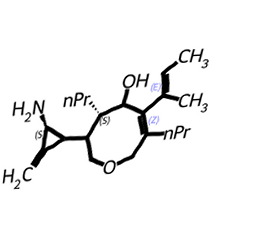 C=C1C(C2COC/C(CCC)=C(/C(C)=C/C)C(O)[C@H]2CCC)[C@@H]1N